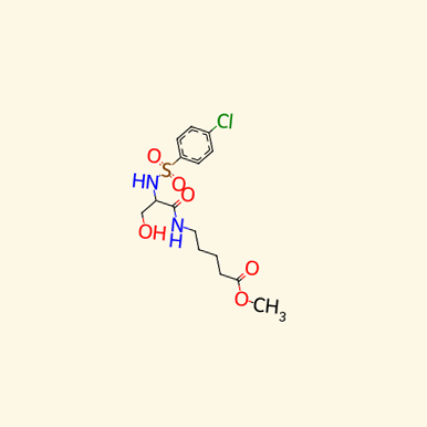 COC(=O)CCCCNC(=O)C(CO)NS(=O)(=O)c1ccc(Cl)cc1